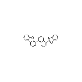 c1ccc2oc(-c3cccc4c(-c5cccc6c5oc5ccccc56)cccc34)nc2c1